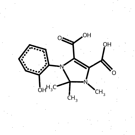 CN1C(C(=O)O)=C(C(=O)O)N(c2ccccc2O)C1(C)C